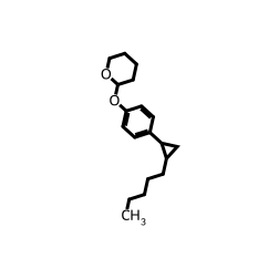 CCCCCC1CC1c1ccc(OC2CCCCO2)cc1